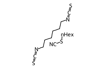 CCCCCCSC#N.S=C=NCCCCCCN=C=S